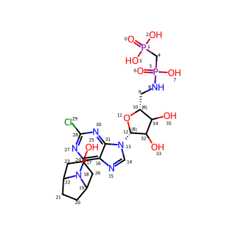 O=P(O)(O)CP(=O)(O)NC[C@H]1O[C@@H](n2cnc3c(N4C5CCC4CC(O)C5)nc(Cl)nc32)C(O)C1O